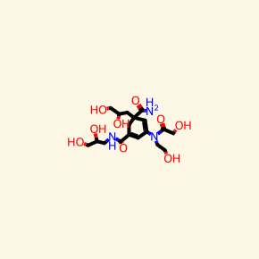 NC(=O)C1(CC(O)CO)C=C(N(CCO)C(=O)CO)C=C(C(=O)NCC(O)CO)C1